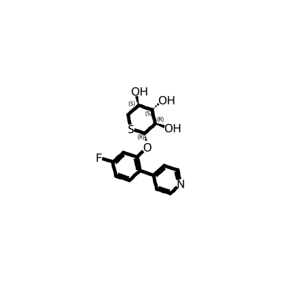 O[C@@H]1[C@@H](O)[C@H](Oc2cc(F)ccc2-c2ccncc2)SC[C@H]1O